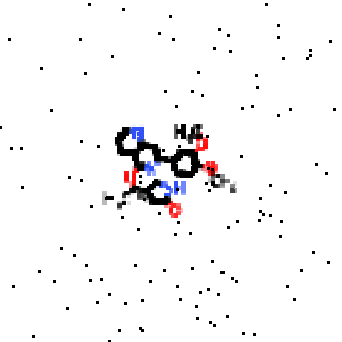 COc1ccc(-c2cc3ncccc3c(OC(C)[C@H]3CNC(=O)C3)n2)cc1OC